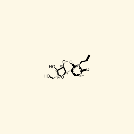 C=CCn1c(=O)[nH]cc([C@@H]2O[C@H](CO)[C@@H](O)[C@H]2O)c1=O